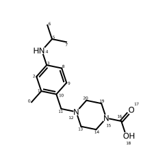 Cc1cc(NC(C)C)ccc1CN1CCN(C(=O)O)CC1